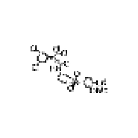 COc1cc(NC(=O)c2cc(NC(=O)[C@@H]3[C@@H](c4cc(Cl)cc(Cl)c4)C3(Cl)Cl)ccc2Cl)ccc1C#N